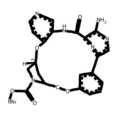 CC(C)(C)OC(=O)N1C[C@H]2CC1COc1cccc(c1)-c1cnc(N)c(n1)C(=O)Nc1cnccc1O2